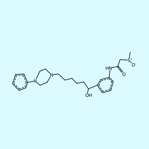 C[S+]([O-])CC(=O)Nc1cccc(C(O)CCCCCN2CCN(c3ccccc3)CC2)c1